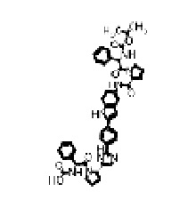 CC(C)OC(=O)N[C@@H](C(=O)N1CCC[C@H]1C(=O)Nc1ccc2[nH]c(-c3ccc(-c4ncc([C@@H]5CCCN5C(=O)[C@H](NC(=O)O)c5ccccc5)[nH]4)cc3)cc2c1)c1ccccc1